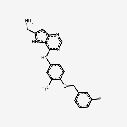 Cc1cc(Nc2ncnc3cc(CN)[nH]c23)ccc1OCc1cccc(F)c1